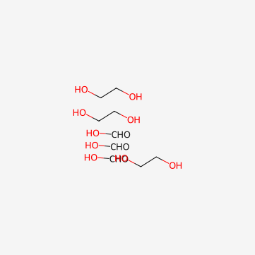 O=CO.O=CO.O=CO.OCCO.OCCO.OCCO